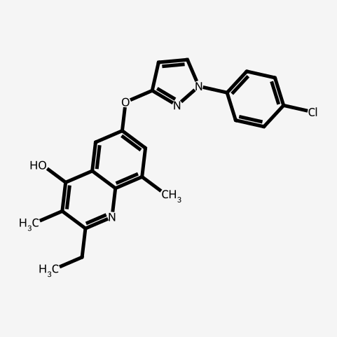 CCc1nc2c(C)cc(Oc3ccn(-c4ccc(Cl)cc4)n3)cc2c(O)c1C